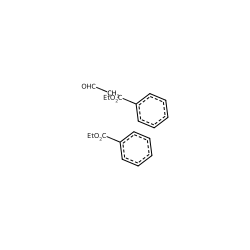 CC=O.CCOC(=O)c1ccccc1.CCOC(=O)c1ccccc1